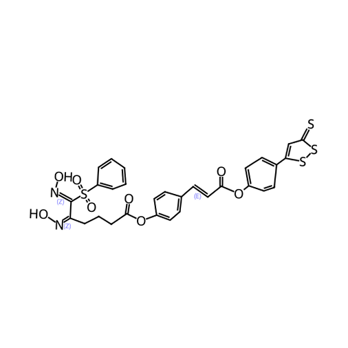 O=C(/C=C/c1ccc(OC(=O)CCCC(=N/O)/C(=N/O)S(=O)(=O)c2ccccc2)cc1)Oc1ccc(-c2cc(=S)ss2)cc1